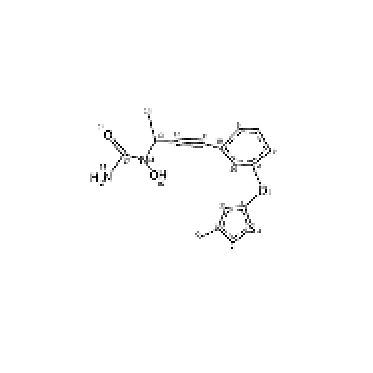 Cc1csc(Oc2cccc(C#CC(C)N(O)C(N)=O)c2)c1